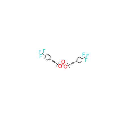 CC(C)(C#Cc1ccc(C(F)(F)F)cc1)OC(=O)OC(C)(C)C#Cc1ccc(C(F)(F)F)cc1